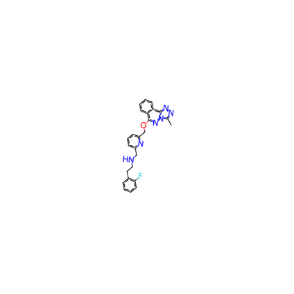 Cc1nnc2c3ccccc3c(OCc3cccc(CNCCc4ccccc4F)n3)nn12